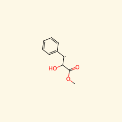 COC(=O)C(O)[CH]c1ccccc1